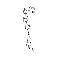 CC(O)c1nccn1Cc1cc(-c2ccc(C#CCCN3CCN(C)CC3)cc2)on1